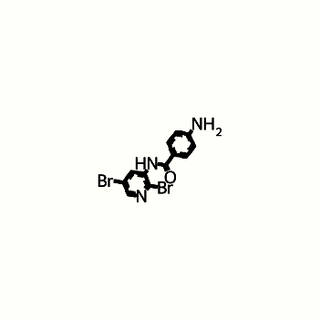 Nc1ccc(C(=O)Nc2cc(Br)cnc2Br)cc1